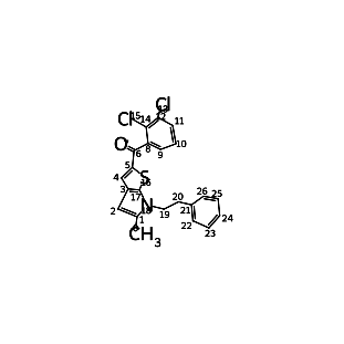 Cc1cc2cc(C(=O)c3cccc(Cl)c3Cl)sc2n1CCc1ccccc1